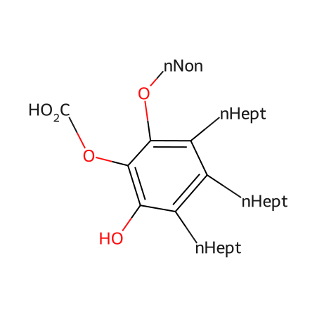 CCCCCCCCCOc1c(CCCCCCC)c(CCCCCCC)c(CCCCCCC)c(O)c1OC(=O)O